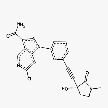 CN1CC[C@@](O)(C#Cc2cccc(-n3nc(C(N)=O)c4cnc(Cl)cc43)c2)C1=O